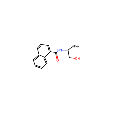 CCCCCCCCCCC(CO)NC(=O)c1cccc2ccccc12